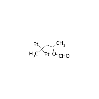 CCC(C)(CC)CC(C)OC=O